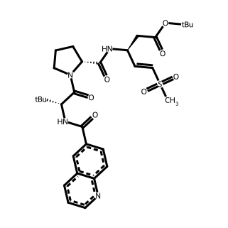 CC(C)(C)OC(=O)C[C@@H](/C=C/S(C)(=O)=O)NC(=O)[C@H]1CCCN1C(=O)[C@H](NC(=O)c1ccc2ncccc2c1)C(C)(C)C